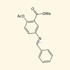 COC(=O)c1cc(/N=C/c2ccccc2)ccc1OC(C)=O